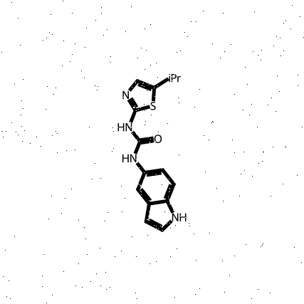 CC(C)c1cnc(NC(=O)Nc2ccc3[nH]ccc3c2)s1